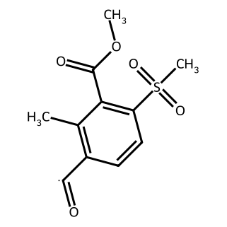 COC(=O)c1c(S(C)(=O)=O)ccc([C]=O)c1C